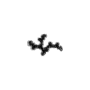 CC1(C)c2ccccc2-c2ccc(-n3c4ccccc4c4cc(-c5ccc6c(c5)c5ccccc5n6-c5ccc(-c6ccc7c8c(cccc68)-c6nc(-c8ccccc8)nc(-c8ccc(-n9c%10ccc(-c%11ccc%12c(c%11)c%11ccccc%11n%12-c%11ccc%12c(c%11)C(C)(C)c%11ccccc%11-%12)cc%10c%10cc(-c%11ccc%12c(c%11)c%11ccccc%11n%12-c%11ccc%12c(c%11)C(C)(C)c%11ccccc%11-%12)ccc%109)cc8)c6-7)cc5)ccc43)cc21